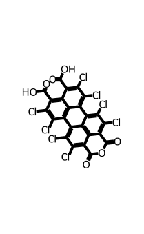 O=C(O)c1c(Cl)c(Cl)c2c3c(Cl)c(Cl)c4c5c(c(Cl)c(Cl)c(c6c(Cl)c(Cl)c(C(=O)O)c1c26)c53)C(=O)OC4=O